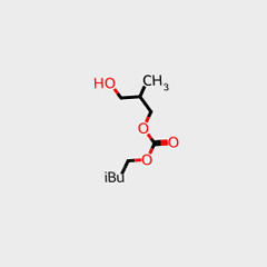 CCC(C)COC(=O)OCC(C)CO